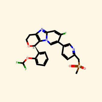 CS(=O)(=O)Cc1ccc(-c2cn3c4c(nc3cc2F)CCO[C@@H]4c2ccccc2OC(F)F)cn1